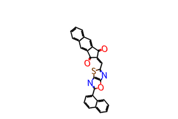 O=C1C(=Cc2nc3oc(-c4cccc5ccccc45)nc3s2)C(=O)c2cc3ccccc3cc21